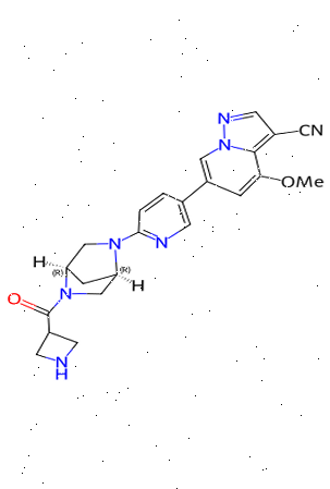 COc1cc(-c2ccc(N3C[C@H]4C[C@@H]3CN4C(=O)C3CNC3)nc2)cn2ncc(C#N)c12